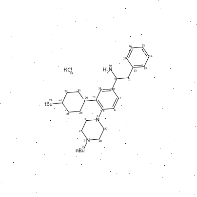 CCCCN1CCN(c2ccc(C(N)Cc3ccccc3)cc2C2CCC(C(C)(C)C)CC2)CC1.Cl